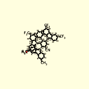 Cc1ccc2c(c1)c1cc(C)ccc1n2-c1c(C#N)cc(-n2c3ccc(C(F)(F)F)cc3c3cc(C(F)(F)F)ccc32)c(-c2ccccc2)c1-n1c2ccc(C(F)(F)F)cc2c2cc(C(F)(F)F)ccc21